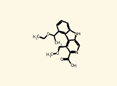 CCOC(C)c1cccc2[nH]c3cnc(C(=O)O)c(COC)c3c12